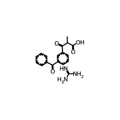 CC(C(=O)O)C(=O)c1cccc(C(=O)c2ccccc2)c1.N=C(N)N